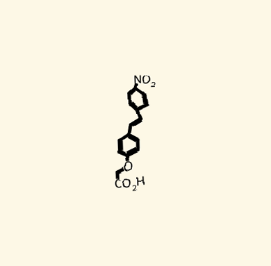 O=C(O)COc1ccc(C=Cc2ccc([N+](=O)[O-])cc2)cc1